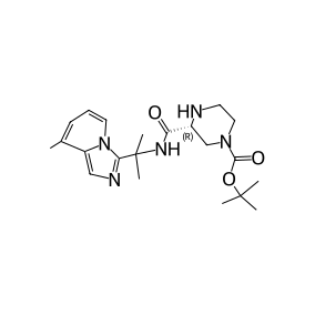 Cc1cccn2c(C(C)(C)NC(=O)[C@H]3CN(C(=O)OC(C)(C)C)CCN3)ncc12